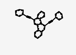 C(#Cc1cc2c3ccccc3cc(C#Cc3ccccc3)c2c2ccccc12)c1ccccc1